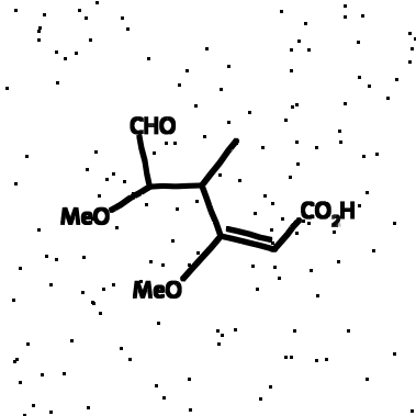 COC(=CC(=O)O)C(C)C(C=O)OC